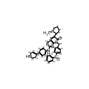 CN1CCCCC1c1cc2cnc(Nc3ccc(C4=CCNCC4)cc3)nc2n(Cc2ccc([S+]([O-])c3ccccc3)cc2)c1=O